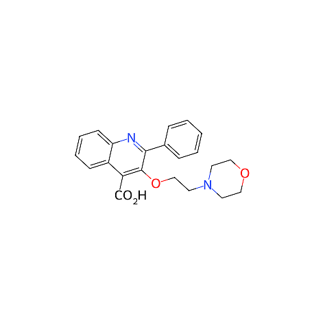 O=C(O)c1c(OCCN2CCOCC2)c(-c2ccccc2)nc2ccccc12